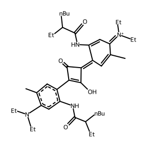 CCCCC(CC)C(=O)NC1=CC(=[N+](CC)CC)C(C)=C/C1=C1/C(=O)C(c2cc(C)c(N(CC)CC)cc2NC(=O)C(CC)CCCC)=C1O